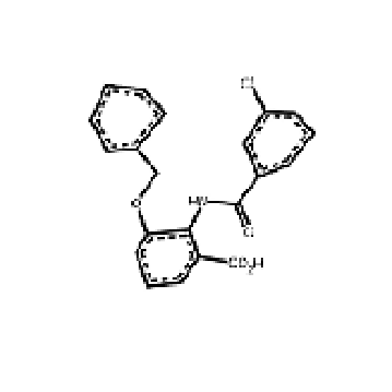 O=C(Nc1c(OCc2ccccc2)cccc1C(=O)O)c1cccc(Cl)c1